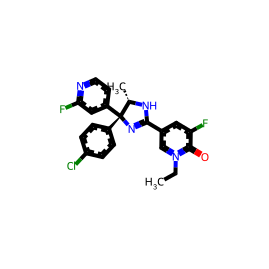 CCn1cc(C2=N[C@](c3ccc(Cl)cc3)(c3ccnc(F)c3)[C@H](C)N2)cc(F)c1=O